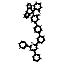 C1=CC(c2nc(-c3ccccc3)cc(-c3cccc(-c4ccc(-c5ccc6c(c5)Oc5ccccc5C65C6=C(C=CCC6)c6ccccc65)cc4)c3)n2)=CCC1